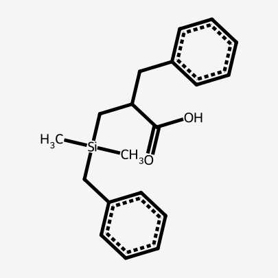 C[Si](C)(Cc1ccccc1)CC(Cc1ccccc1)C(=O)O